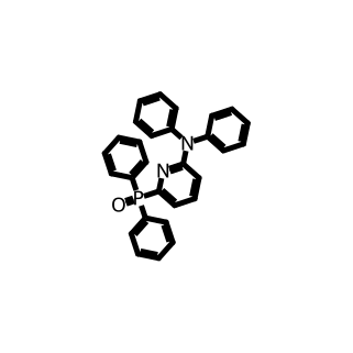 O=P(c1ccccc1)(c1ccccc1)c1cccc(N(c2ccccc2)c2ccccc2)n1